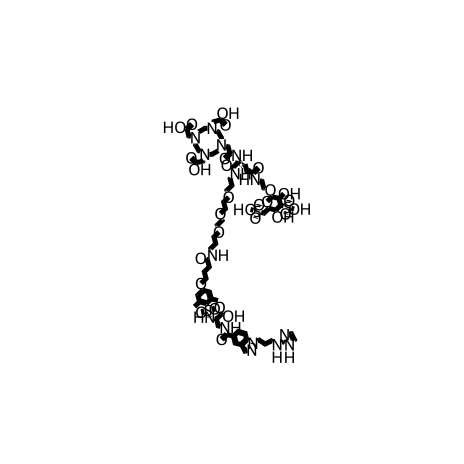 Cc1cc(OCCCC(=O)NCCCOCCOCCOCCCNC(=O)[C@@H](CCC(=O)NCCOC2OC(CS(=O)(=O)O)C(O)C(S(=O)(=O)O)C2O)NC(=O)CN2CCN(CC(=O)O)CCN(CC(=O)O)CCN(CC(=O)O)CC2)cc(C)c1S(=O)(=O)NC(CNC(=O)c1ccc2c(cnn2CCCNc2ncc[nH]2)c1)C(=O)O